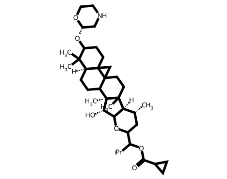 CC(C)C(OC(=O)C1CC1)C1C[C@@H](C)[C@H]2C(O1)[C@H](O)[C@@]1(C)C3CC[C@H]4C(C)(C)C(O[C@H]5CNCCO5)CCC45CC35CCC21C